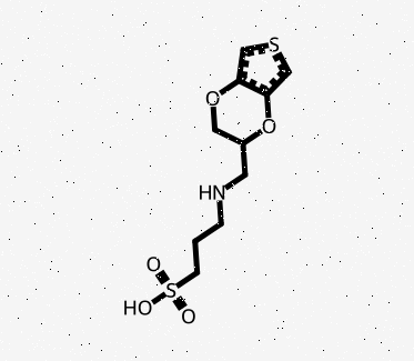 O=S(=O)(O)CCCNCC1COc2cscc2O1